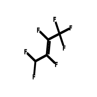 FC(=C(F)C(F)(F)F)C(F)F